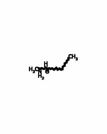 CCCCCCCC/C=C\CCCCCCCC(=O)NCCC(N)CC